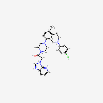 CC1CN(c2ccc(C(F)(F)F)c3c2CN(c2ccc(Cl)cc2)CC3)CCN1C(=O)Cn1cnc2cccnc21